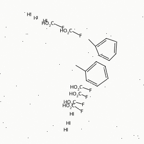 Cc1ccccc1.Cc1ccccc1.I.I.I.I.I.I.O=C(O)F.O=C(O)F.O=C(O)F.O=C(O)F.O=C(O)F.O=C(O)F